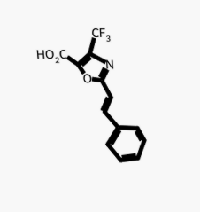 O=C(O)c1oc(/C=C/c2ccccc2)nc1C(F)(F)F